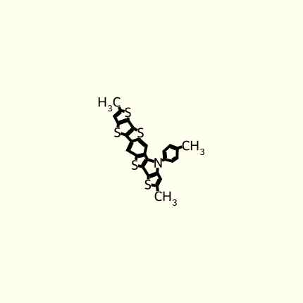 Cc1ccc(-n2c3cc(C)sc3c3sc4cc5c(cc4c32)sc2c3sc(C)cc3sc52)cc1